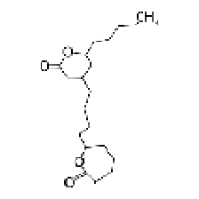 CCCCCC1CC(CCCCC2CCCCC(=O)O2)CC(=O)O1